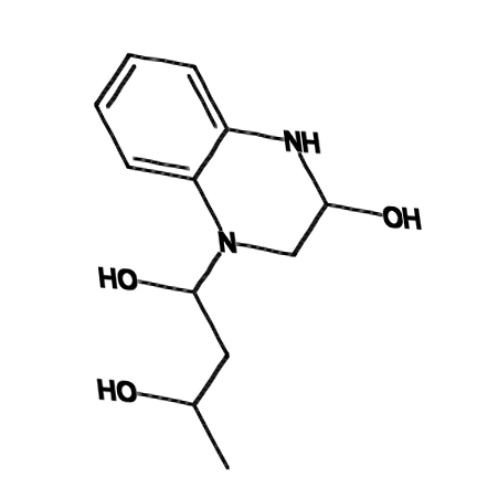 CC(O)CC(O)N1CC(O)Nc2ccccc21